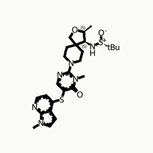 C[C@@H]1OCC2(CCN(c3ncc(Sc4ccnc5c4ccn5C)c(=O)n3C)CC2)[C@@H]1N[S@+]([O-])C(C)(C)C